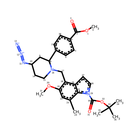 COC(=O)c1ccc(C2CC(N=[N+]=[N-])CCN2Cc2c(OC)cc(C)c3c2ccn3C(=O)OC(C)(C)C)cc1